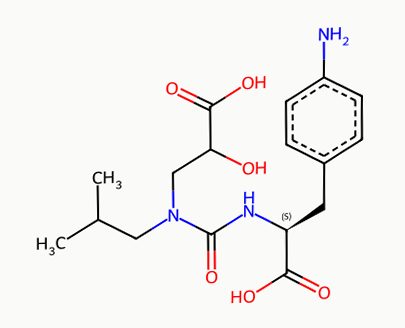 CC(C)CN(CC(O)C(=O)O)C(=O)N[C@@H](Cc1ccc(N)cc1)C(=O)O